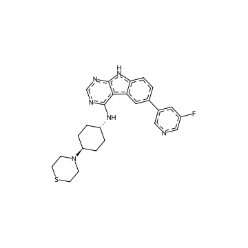 Fc1cncc(-c2ccc3[nH]c4ncnc(N[C@H]5CC[C@H](N6CCSCC6)CC5)c4c3c2)c1